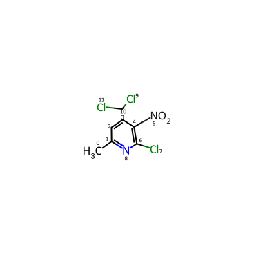 Cc1ccc([N+](=O)[O-])c(Cl)n1.ClCCl